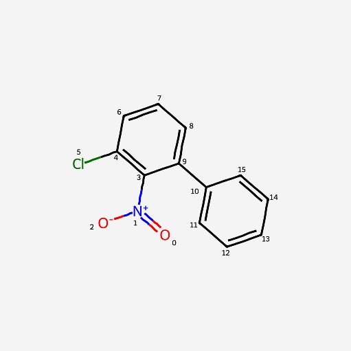 O=[N+]([O-])c1c(Cl)cccc1-c1ccccc1